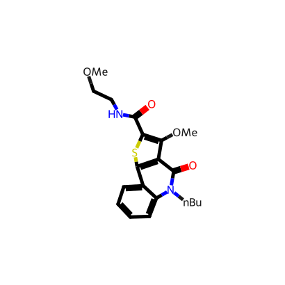 CCCCn1c(=O)c2c(OC)c(C(=O)NCCOC)sc2c2ccccc21